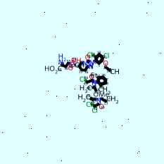 C#CCOc1cc(-n2nc3n(c2=O)CCCC3)c(Cl)cc1Cl.C=CCN(CC=C)C(=O)C(Cl)Cl.CCc1cccc(C)c1N(C(=O)CCl)C(C)COC.CP(=O)(O)CCC(N)C(=O)O